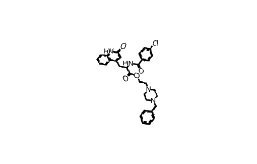 O=C(NC(Cc1cc(=O)[nH]c2ccccc12)C(=O)OCCN1CCN(Cc2ccccc2)CC1)c1ccc(Cl)cc1